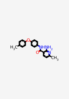 Cc1ccc(Oc2ccc(NC(=O)c3ccc(C)nc3N)cc2)cc1